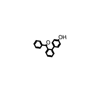 O=C(c1ccccc1)c1ccccc1-c1ccc(O)cc1